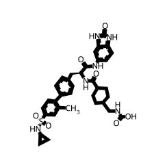 Cc1cc(S(=O)(=O)NC2CC2)ccc1-c1ccc(C[C@H](NC(=O)C2CCC(CNC(=O)O)CC2)C(=O)Nc2ccc3[nH]c(=O)[nH]c3c2)cc1